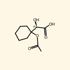 CC(=O)OC1([C@@H](O)C(=O)O)CCCCC1